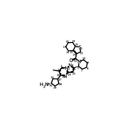 Cc1cn2nc([C@@H]3CCCCN3C(=O)C3=C4CCCCC4SC3)cc2nc1C1CC[C@H](N)C1